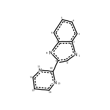 [c]1nc2ccccc2nc1-c1ncccn1